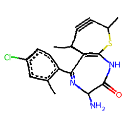 Cc1cc(Cl)ccc1C1=NC(N)C(=O)NC2=C1C(C)C#CC(C)S2